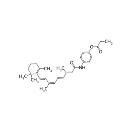 CCC(=O)Oc1ccc(NC(=O)/C=C(C)/C=C/C=C(C)\C=C\C2=C(C)CCCC2(C)C)cc1